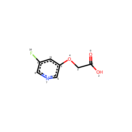 O=C(O)COc1cncc(F)c1